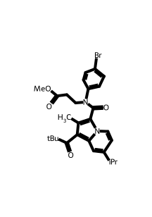 COC(=O)CCN(C(=O)c1c(C)c(C(=O)C(C)(C)C)c2cc(C(C)C)ccn12)c1ccc(Br)cc1